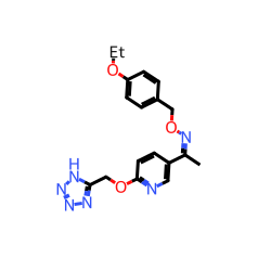 CCOc1ccc(CON=C(C)c2ccc(OCc3nnn[nH]3)nc2)cc1